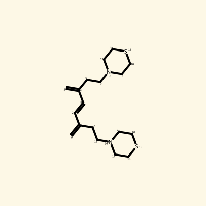 C=C(C=CC(=C)CCN1CCSCC1)CCN1CCSCC1